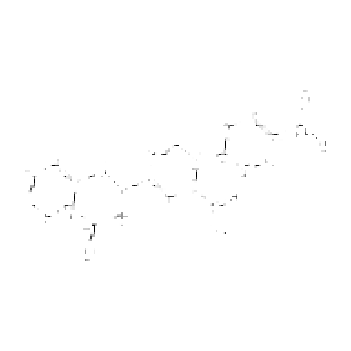 COC(=O)c1cc(COc2ccccc2C(=N)N)ccc1-c1ccc(C(=N)N)cc1